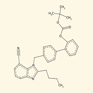 CCCCc1nc2cccc(C#N)c2n1Cc1ccc(-c2ccccc2OC(=O)OC(C)(C)C)cc1